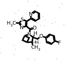 Cc1nc(C(=O)N2C3CC(C3)[C@H](C)[C@H]2COc2ccc(F)cc2)c(-c2ccccn2)s1